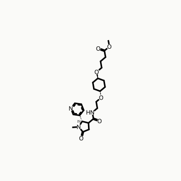 COC(=O)CCCO[C@H]1CC[C@H](OCCNC(=O)C2CC(=O)N(C)[C@@H]2c2cccnc2)CC1